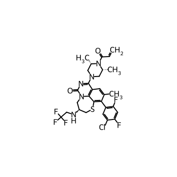 C=CC(=O)N1[C@H](C)CN(c2nc(=O)n3c4c(c(-c5cc(Cl)c(F)cc5F)c(C)cc24)SC[C@@H](NCC(F)(F)F)C3)C[C@@H]1C